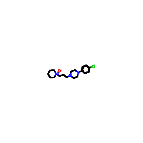 [O-][N+]1(CCCN2CCN(c3ccc(Cl)cc3)CC2)CCCCC1